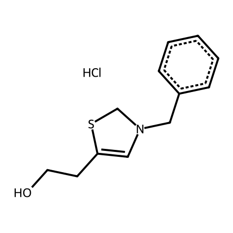 Cl.OCCC1=CN(Cc2ccccc2)CS1